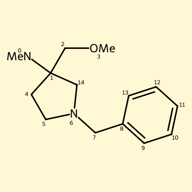 CNC1(COC)CCN(Cc2ccccc2)C1